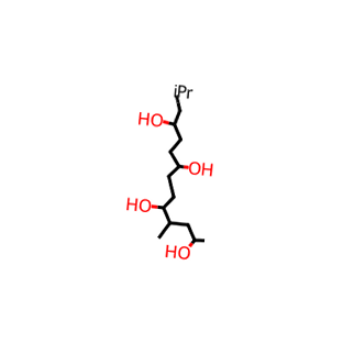 CC(C)CC(O)CCC(O)CCC(O)C(C)CC(C)O